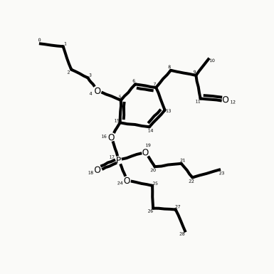 CCCCOc1cc(CC(C)C=O)ccc1OP(=O)(OCCCC)OCCCC